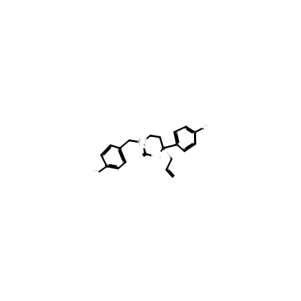 C=CC[C@]1(c2ccc(F)cc2)CCN([C@@H](C)c2ccc(F)cc2)C(=O)O1